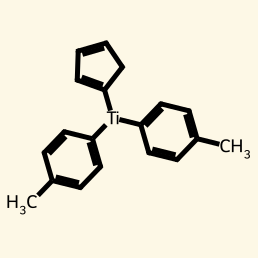 Cc1cc[c]([Ti]([C]2=CC=CC2)[c]2ccc(C)cc2)cc1